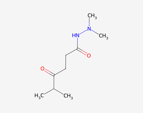 CC(C)C(=O)CCC(=O)NN(C)C